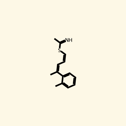 CC(=N)S/C=C\C=C(\C)c1ccccc1C